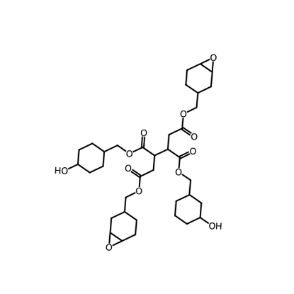 O=C(CC(C(=O)OCC1CCC(O)CC1)C(CC(=O)OCC1CCC2OC2C1)C(=O)OCC1CCCC(O)C1)OCC1CCC2OC2C1